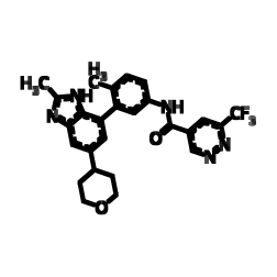 Cc1nc2cc(C3CCOCC3)cc(-c3cc(NC(=O)c4cnnc(C(F)(F)F)c4)ccc3C)c2[nH]1